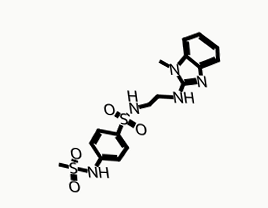 Cn1c(NCCNS(=O)(=O)c2ccc(NS(C)(=O)=O)cc2)nc2ccccc21